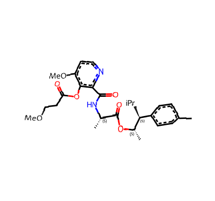 COCCC(=O)Oc1c(OC)ccnc1C(=O)N[C@@H](C)C(=O)O[C@@H](C)[C@H](c1ccc(C)cc1)C(C)C